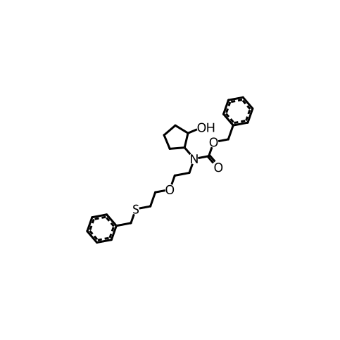 O=C(OCc1ccccc1)N(CCOCCSCc1ccccc1)C1CCCC1O